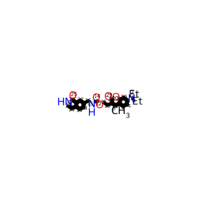 CCN(CC)c1ccc2c(C)c(CCOC(=O)NCc3ccc4cc[nH]c(=O)c4c3)c(=O)oc2c1